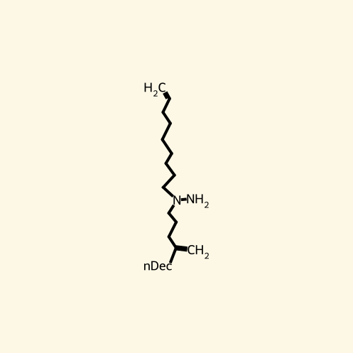 C=CCCCCCCCN(N)CCCC(=C)CCCCCCCCCC